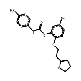 Cc1ccc(OCCC2CCCN2)c(NC(=O)Nc2cnc(C)cn2)c1